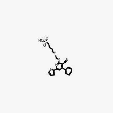 N#Cc1c(-c2ccccc2)cc(-c2cccs2)nc1SCSCCCCS(=O)(=O)O